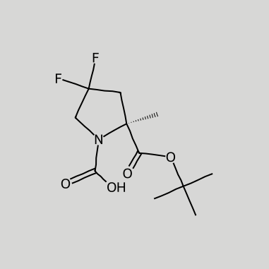 CC(C)(C)OC(=O)[C@]1(C)CC(F)(F)CN1C(=O)O